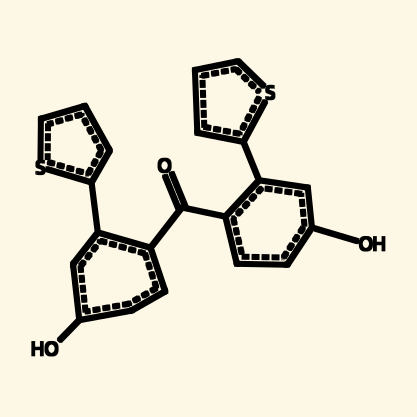 O=C(c1ccc(O)cc1-c1cccs1)c1ccc(O)cc1-c1cccs1